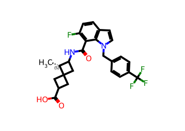 C[C@@H]1C(NC(=O)c2c(F)ccc3ccn(Cc4ccc(C(F)(F)F)cc4)c23)CC12CC(C(=O)O)C2